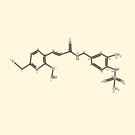 CCCCOc1nc(CF)ccc1/C=C/C(=O)NCc1ccc(NS(C)(=O)=O)c(C)c1